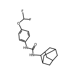 O=C(Nc1ccc(OC(F)F)cc1)NC1C2CC3CC(C2)CC1C3